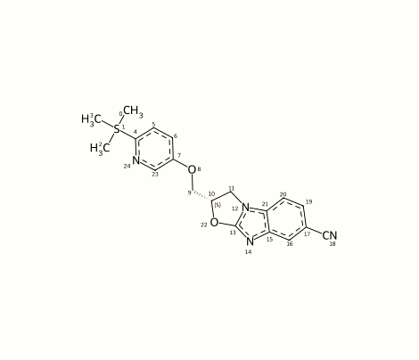 CS(C)(C)c1ccc(OC[C@@H]2Cn3c(nc4cc(C#N)ccc43)O2)cn1